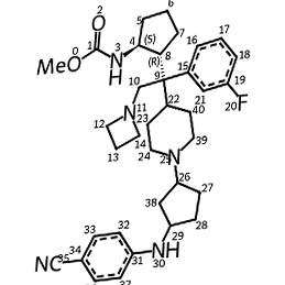 COC(=O)N[C@H]1CCC[C@@H]1C(CN1CCC1)(c1cccc(F)c1)C1CCN(C2CCC(Nc3ccc(C#N)cc3)C2)CC1